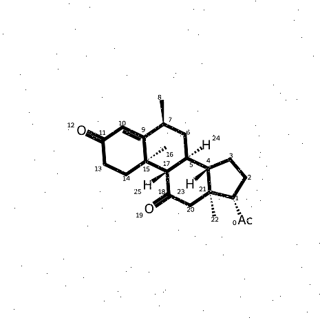 CC(=O)[C@H]1CC[C@H]2[C@@H]3C[C@H](C)C4=CC(=O)CC[C@]4(C)[C@H]3C(=O)C[C@]12C